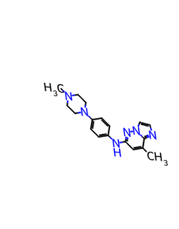 Cc1cc(Nc2ccc(N3CCN(C)CC3)cc2)nn2ccnc12